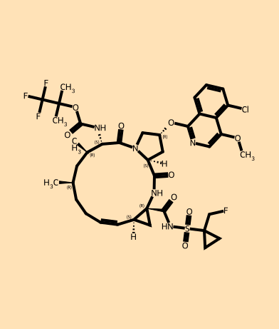 COc1cnc(O[C@@H]2C[C@H]3C(=O)N[C@]4(C(=O)NS(=O)(=O)C5(CF)CC5)C[C@H]4C=CCC[C@@H](C)C[C@@H](C)[C@H](NC(=O)OC(C)(C)C(F)(F)F)C(=O)N3C2)c2cccc(Cl)c12